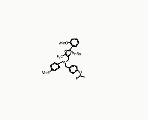 CCCCn1c(-c2ccccc2OC)nc(C(F)(F)F)c1CN(Cc1ccc(OC(F)F)cc1)Cc1ccc(SC)cc1